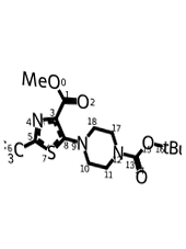 COC(=O)c1nc(C(F)(F)F)sc1N1CCN(C(=O)OC(C)(C)C)CC1